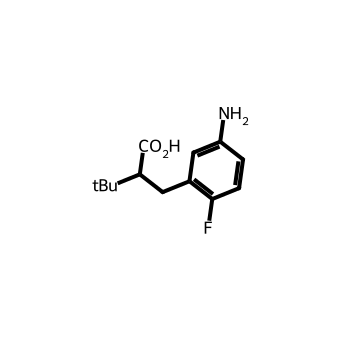 CC(C)(C)C(Cc1cc(N)ccc1F)C(=O)O